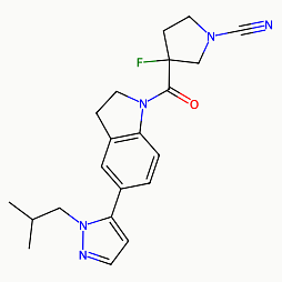 CC(C)Cn1nccc1-c1ccc2c(c1)CCN2C(=O)C1(F)CCN(C#N)C1